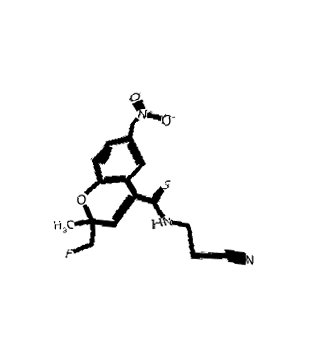 CC1(CF)C=C(C(=S)NCCC#N)c2cc([N+](=O)[O-])ccc2O1